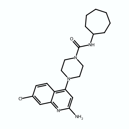 Nc1cc(N2CCN(C(=O)NC3CCCCCC3)CC2)c2ccc(Cl)cc2n1